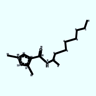 CCCCCCCC(C)NC(=O)c1cn(C)nc1C